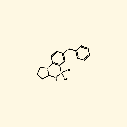 OS1(O)NC2CCCN2c2ccc(Oc3c[c]ccc3)cc21